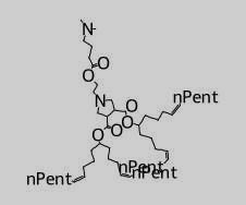 CCCCC/C=C\CCCC(CCC/C=C\CCCCC)OC(=O)C1CN(CCOC(=O)CCCN(C)C)CC1C(=O)OC(CCC/C=C\CCCCC)CCC/C=C\CCCCC